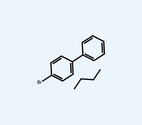 Brc1ccc(-c2ccccc2)cc1.CCCC